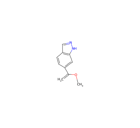 C=C(OC)c1ccc2cn[nH]c2c1